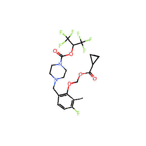 Cc1c(F)ccc(CN2CCN(C(=O)OC(C(F)(F)F)C(F)(F)F)CC2)c1OCOC(=O)C1CC1